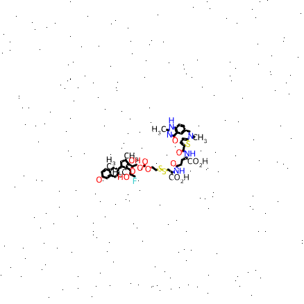 Cc1nc(=O)c2cc(CN(C)c3ccc(C(=O)N[C@@H](CCC(=O)NC(CSSCCOC(=O)OCC(=O)C4(O)C(C)CC(C5CCC6=CC(=O)C=CC6(C)C5)C4(C)CC(O)CF)C(=O)O)C(=O)O)s3)ccc2[nH]1